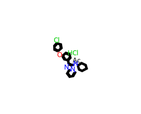 CC(=O)N(c1c(-c2cccc(Oc3ccc(Cl)cc3)c2)nc2ccccn12)C1CCCCC1.Cl